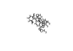 COC(=O)c1ccc2c(-c3c(F)cccc3F)c(C)nn2c1C(C)(C)C